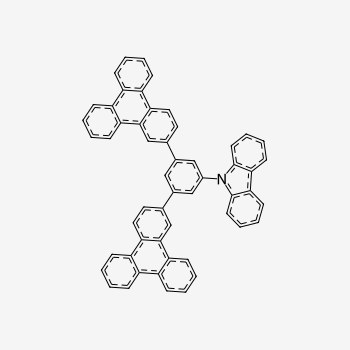 c1ccc2c(c1)c1ccccc1c1cc(-c3cc(-c4ccc5c6ccccc6c6ccccc6c5c4)cc(-n4c5ccccc5c5ccccc54)c3)ccc21